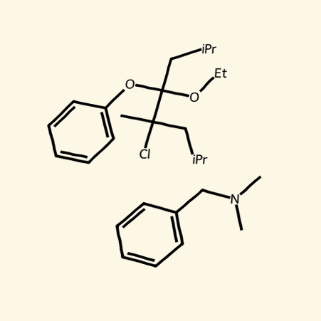 CCOC(CC(C)C)(Oc1ccccc1)C(C)(Cl)CC(C)C.CN(C)Cc1ccccc1